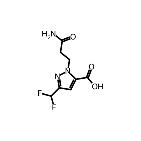 NC(=O)CCn1nc(C(F)F)cc1C(=O)O